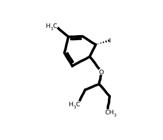 CCC(CC)OC1C=CC(C)=C[C@@H]1I